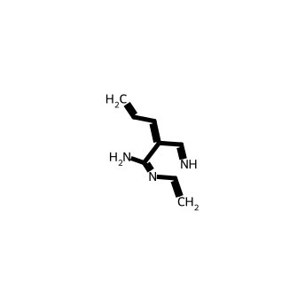 C=C/C=C(C=N)\C(N)=N/C=C